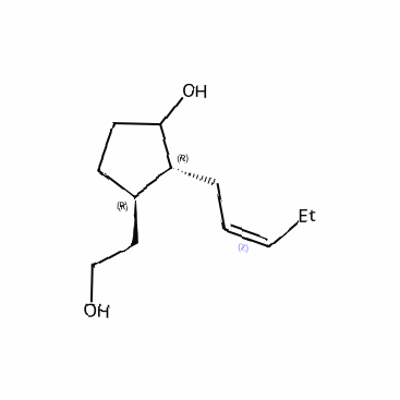 CC/C=C\C[C@H]1C(O)CC[C@@H]1CCO